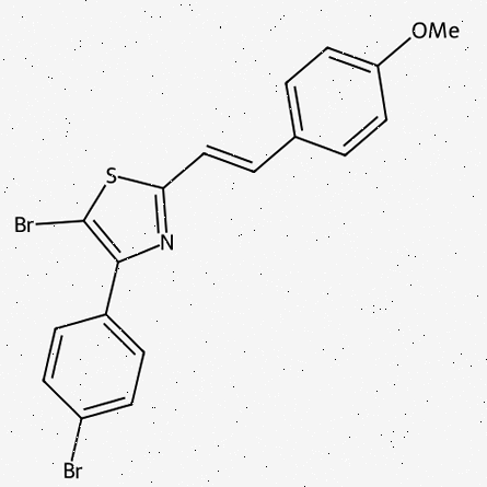 COc1ccc(/C=C/c2nc(-c3ccc(Br)cc3)c(Br)s2)cc1